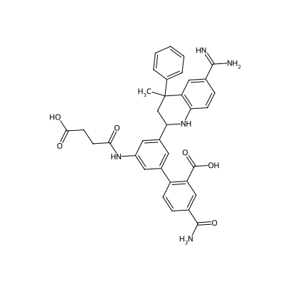 CC1(c2ccccc2)CC(c2cc(NC(=O)CCC(=O)O)cc(-c3ccc(C(N)=O)cc3C(=O)O)c2)Nc2ccc(C(=N)N)cc21